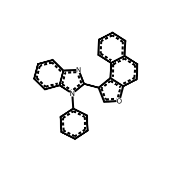 c1ccc(-n2c(-c3coc4ccc5ccccc5c34)nc3ccccc32)cc1